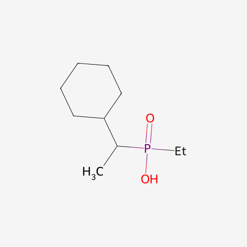 CCP(=O)(O)C(C)C1CCCCC1